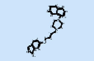 O=C1N=Cc2ccc(OCCCCN3CCN(c4cccc5ccc(F)cc45)CC3)cc21